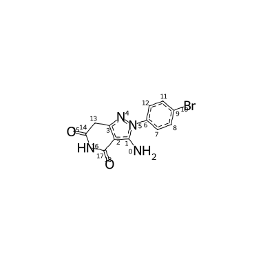 Nc1c2c(nn1-c1ccc(Br)cc1)CC(=O)NC2=O